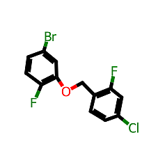 Fc1cc(Cl)ccc1COc1cc(Br)ccc1F